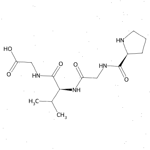 CC(C)[C@H](NC(=O)CNC(=O)[C@@H]1CCCN1)C(=O)NCC(=O)O